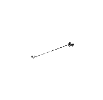 NCCCCCCCCCCCCCCCCCCCCCCCCCCCCCCCCCCCCCCCOP(=O)(O)O